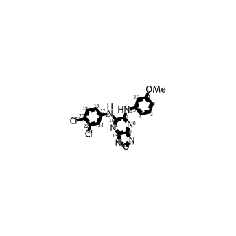 COc1cccc(Nc2nc3nonc3nc2Nc2ccc(Cl)c(Cl)c2)c1